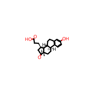 C[C@]12CC[C@@H]3c4ccc(O)cc4CC[C@H]3[C@@H]1[C@H](CCC(=O)O)CC2=O